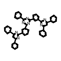 c1ccc(-c2cc(-c3ccccc3)nc(-c3cccc(-c4nc(-c5ccccc5)nc(-c5cccc(-c6nc(-c7ccccc7)cc(-c7ccccc7)n6)c5)n4)c3)n2)cc1